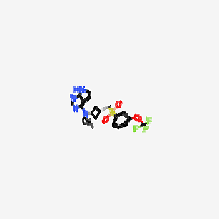 CN(c1ncnc2[nH]ccc12)[C@H]1C[C@@H](CS(=O)(=O)c2cccc(OC(F)(F)F)c2)C1